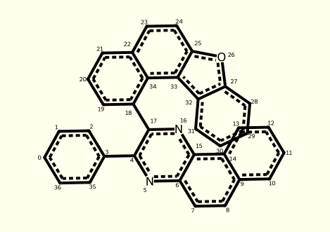 c1ccc(-c2nc3ccc4ccccc4c3nc2-c2cccc3ccc4oc5ccccc5c4c23)cc1